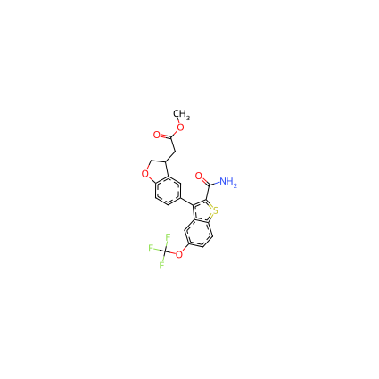 COC(=O)CC1COc2ccc(-c3c(C(N)=O)sc4ccc(OC(F)(F)F)cc34)cc21